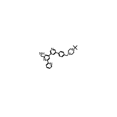 CC(C)(C)N1CCN(Cc2ccc(-c3cncc(-c4cc(CN)nc(-c5ccccn5)c4)c3)cc2)CC1